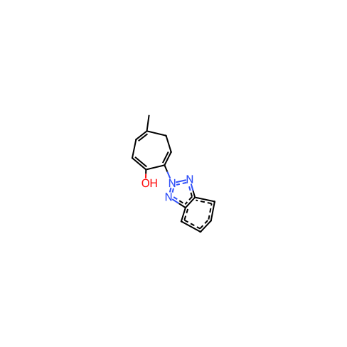 CC1=CC=C(O)C(n2nc3ccccc3n2)=CC1